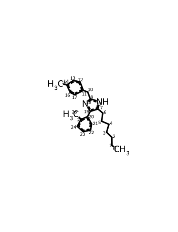 CCCCCCCc1[nH]c(Cc2ccc(C)cc2)nc1-c1ccccc1C